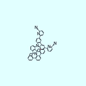 N#Cc1cccc(-c2ccc3c(c2)c2cc(-c4cccc(C#N)n4)ccc2n3-c2cccc3c2C(=O)N(c2c(-c4ccccc4)cccc2-c2ccccc2)C3=O)n1